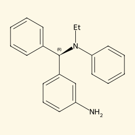 CCN(c1ccccc1)[C@H](c1ccccc1)c1cccc(N)c1